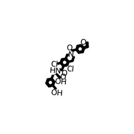 O=C(N[C@@H](Cc1cccc(CO)c1)C(=O)O)c1c(Cl)cc2c(c1Cl)CCN(C(=O)c1ccc3ccoc3c1)C2